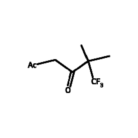 CC(=O)CC(=O)C(C)(C)C(F)(F)F